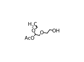 C=COC(COCCO)OC(C)=O